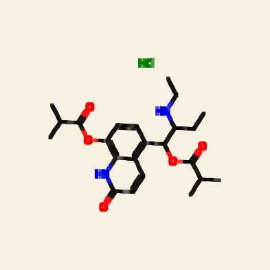 CCNC(CC)C(OC(=O)C(C)C)c1ccc(OC(=O)C(C)C)c2[nH]c(=O)ccc12.Cl